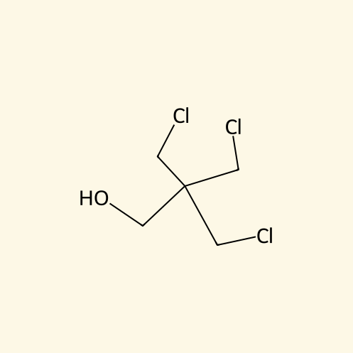 OCC(CCl)(CCl)CCl